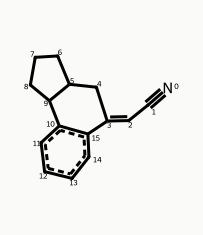 N#CC=C1CC2CCCC2c2ccccc21